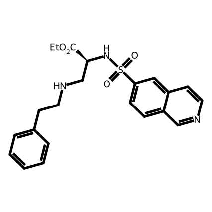 CCOC(=O)[C@H](CNCCc1ccccc1)NS(=O)(=O)c1ccc2cnccc2c1